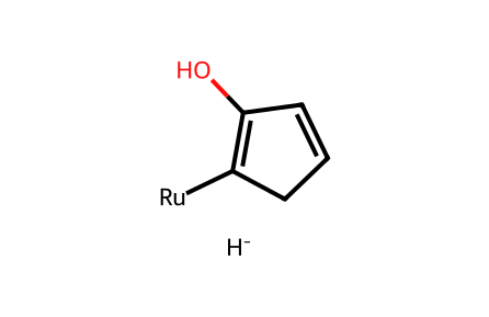 OC1=[C]([Ru])CC=C1.[H-]